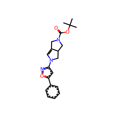 CC(C)(C)OC(=O)N1CC2=CN(c3cc(-c4ccccc4)on3)CC2C1